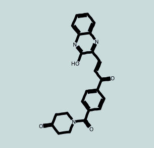 O=C1CCN(C(=O)c2ccc(C(=O)C=Cc3nc4ccccc4nc3O)cc2)CC1